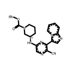 CC(C)(C)OC(=O)N1CCC[C@@H](Nc2cnc(C#N)c(-c3cnc4ccccn34)n2)C1